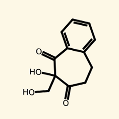 O=C1CCc2ccccc2C(=O)C1(O)CO